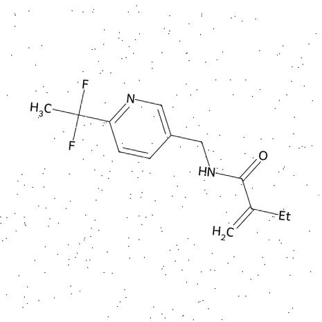 C=C(CC)C(=O)NCc1ccc(C(C)(F)F)nc1